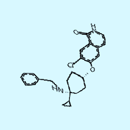 O=c1[nH]ccc2cc(O[C@H]3CC[C@](NCc4ccccc4)(C4CC4)CC3)c(Cl)cc12